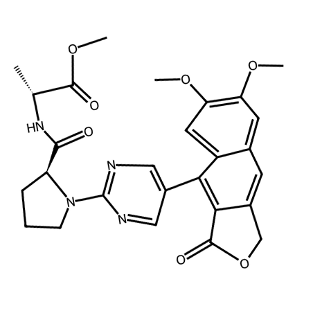 COC(=O)[C@@H](C)NC(=O)[C@@H]1CCCN1c1ncc(-c2c3c(cc4cc(OC)c(OC)cc24)COC3=O)cn1